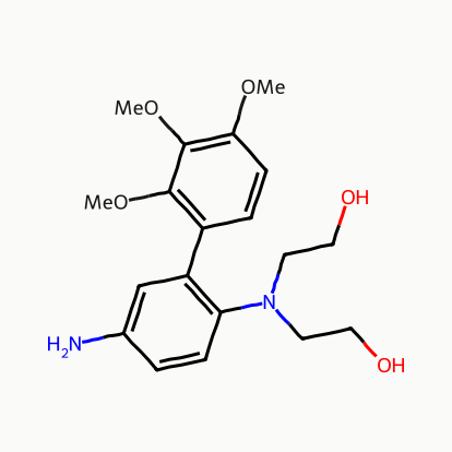 COc1ccc(-c2cc(N)ccc2N(CCO)CCO)c(OC)c1OC